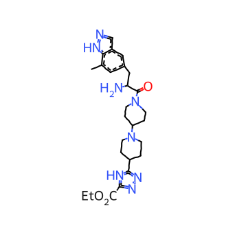 CCOC(=O)c1nnc(C2CCN(C3CCN(C(=O)C(N)Cc4cc(C)c5[nH]ncc5c4)CC3)CC2)[nH]1